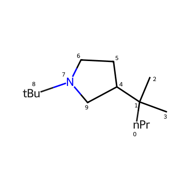 CCCC(C)(C)C1CCN(C(C)(C)C)C1